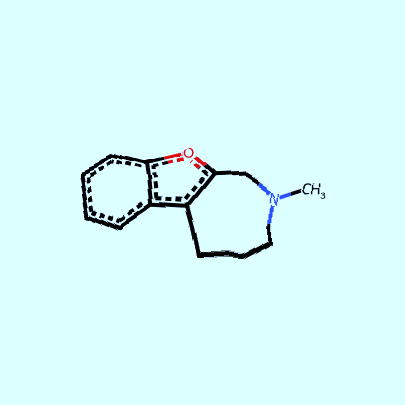 CN1CCCc2c(oc3ccccc23)C1